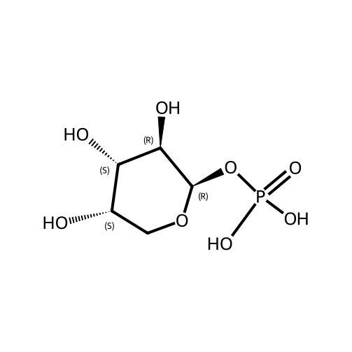 O=P(O)(O)O[C@H]1OC[C@H](O)[C@H](O)[C@H]1O